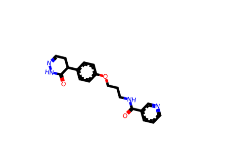 O=C(NCCCOc1ccc(C2CC=NNC2=O)cc1)c1cccnc1